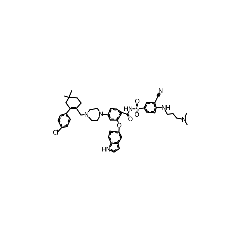 CN(C)CCCNc1ccc(S(=O)(=O)NC(=O)c2ccc(N3CCN(CC4=C(c5ccc(Cl)cc5)CC(C)(C)CC4)CC3)cc2Oc2ccc3[nH]ccc3c2)cc1C#N